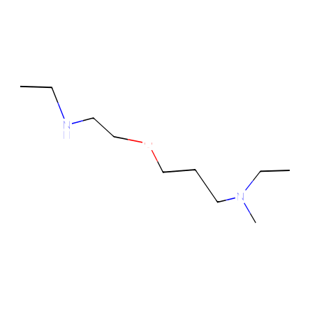 CCNCCOCCCN(C)CC